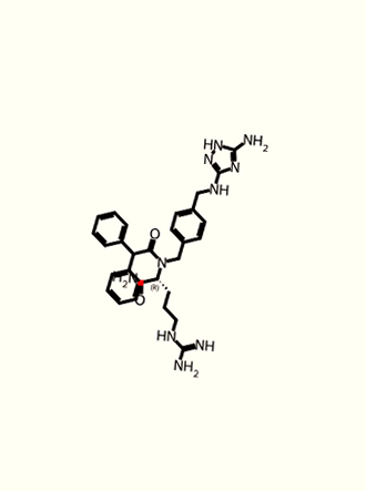 N=C(N)NCCC[C@H](C(N)=O)N(Cc1ccc(CNc2n[nH]c(N)n2)cc1)C(=O)C(c1ccccc1)c1ccccc1